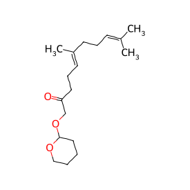 CC(C)=CCC/C(C)=C/CCC(=O)COC1CCCCO1